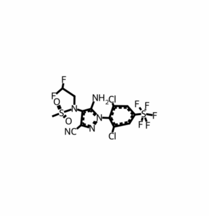 CS(=O)(=O)N(CC(F)F)c1c(C#N)nn(-c2c(Cl)cc(S(F)(F)(F)(F)F)cc2Cl)c1N